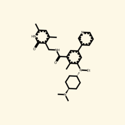 CCN(c1cc(-c2cccnc2)cc(C(=O)NCc2c(C)cc(C)[nH]c2=O)c1C)[C@H]1CC[C@H](N(C)C)CC1